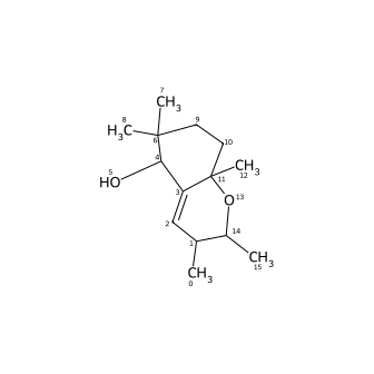 CC1C=C2C(O)C(C)(C)CCC2(C)OC1C